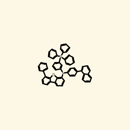 c1ccc(-c2cccc3c2oc2c(N(c4ccc(-c5cccc6ccccc56)cc4)c4cccc([Si](c5ccccc5)(c5ccccc5)c5ccccc5)c4)cccc23)cc1